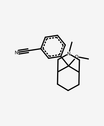 COC1(c2cccc(C#N)c2)C2CCCC1CN(C)C2